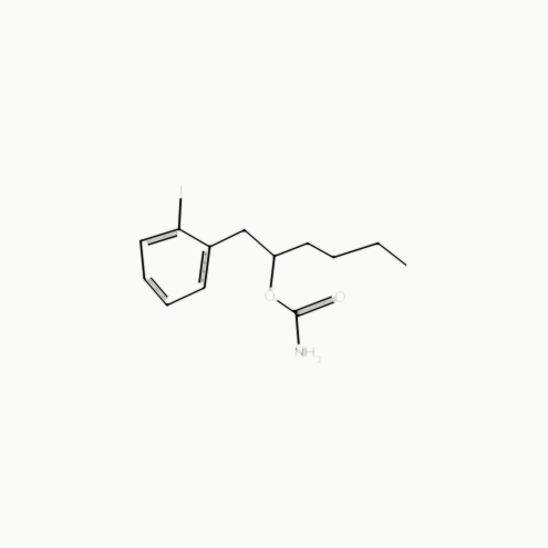 CCCCC([CH]c1ccccc1I)OC(N)=O